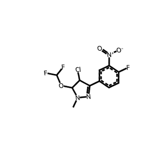 CN1N=C(c2ccc(F)c([N+](=O)[O-])c2)C(Cl)C1OC(F)F